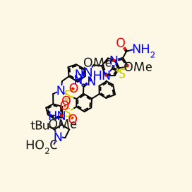 COc1ccc(CN(Cc2ccc(OC)cc2)S(=O)(=O)c2c(S(=O)(=O)NC3CCN(C(=O)O)C3C(C)(C)C)ccc(-c3cccc(Nc4nc(C(N)=O)cs4)c3)c2-c2nnn(Cc3ccc(OC)cc3)n2)cc1